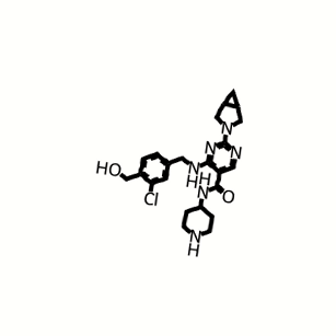 O=C(NC1CCNCC1)c1cnc(N2CC3CC3C2)nc1NCc1ccc(CO)c(Cl)c1